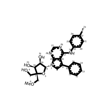 COC[C@]1(CO)O[C@@H](n2cc(-c3ccccc3)c3c(Nc4ccc(F)cc4)ncnc32)[C@H](O)[C@@H]1O